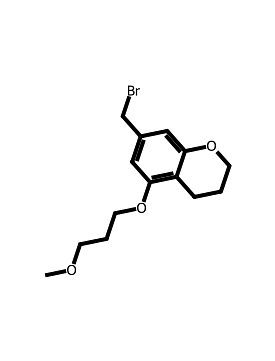 COCCCOc1cc(CBr)cc2c1CCCO2